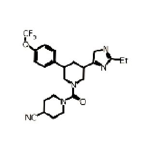 CCC1=NCC(C2CC(c3ccc(OC(F)(F)F)cc3)CN(C(=O)N3CCC(C#N)CC3)C2)=N1